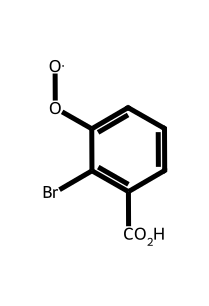 [O]Oc1cccc(C(=O)O)c1Br